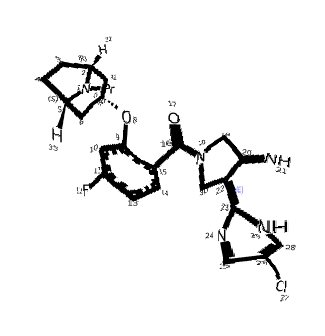 CC(C)N1[C@@H]2CC[C@H]1C[C@@H](Oc1cc(F)ccc1C(=O)N1CC(=N)/C(=C3/N=CC(Cl)=CN3)C1)C2